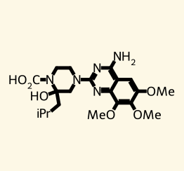 COc1cc2c(N)nc(N3CCN(C(=O)O)C(O)(CC(C)C)C3)nc2c(OC)c1OC